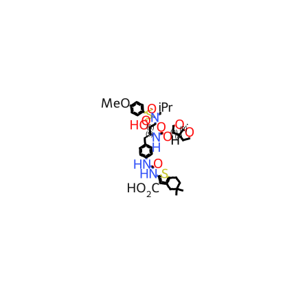 COc1ccc(S(=O)(=O)N(CC(C)C)C[C@@H](O)[C@H](Cc2ccc(NC(=O)Nc3sc4c(c3C(=O)O)CC(C)(C)CC4)cc2)NC(=O)O[C@H]2CO[C@@]3(C)OCC[C@@H]23)cc1